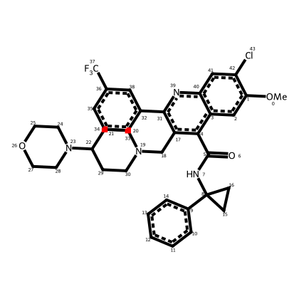 COc1cc2c(C(=O)NC3(c4ccccc4)CC3)c(CN3CCC(N4CCOCC4)CC3)c(-c3cccc(C(F)(F)F)c3)nc2cc1Cl